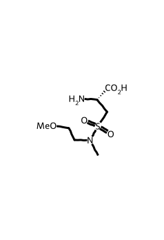 COCCN(C)S(=O)(=O)C[C@H](N)C(=O)O